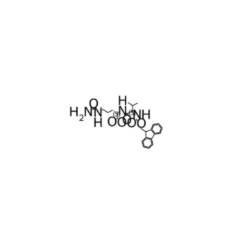 COC(=O)[C@H](CCCNC(N)=O)NC(=O)[C@@H](NC(=O)OCC1c2ccccc2-c2ccccc21)C(C)C